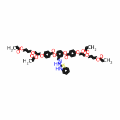 C=CC(=O)OCCCCOCC(COc1ccc(C(=O)Oc2ccc(OC(=O)c3ccc(OCC(COCCCCOC(=O)C=C)OC(=O)C=C)cc3)c(/C=N/NC3Nc4ccccc4S3)c2)cc1)OC(=O)C=C